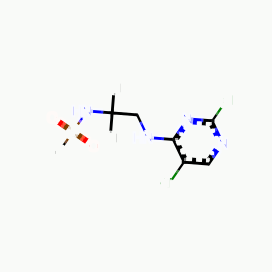 CC(C)(CNc1nc(Cl)ncc1Cl)NS(C)(=O)=O